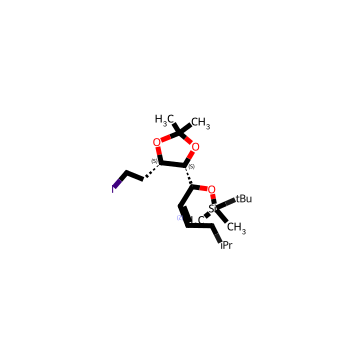 CC(C)C/C=C\C(O[Si](C)(C)C(C)(C)C)[C@H]1OC(C)(C)O[C@H]1CCI